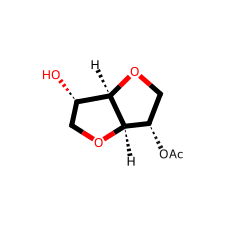 CC(=O)O[C@H]1CO[C@H]2[C@@H]1OC[C@@H]2O